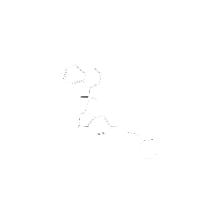 O=S(=O)(c1cccc2ccccc12)c1n[nH]c2ccc(OCCN3CCCCC3)cc12